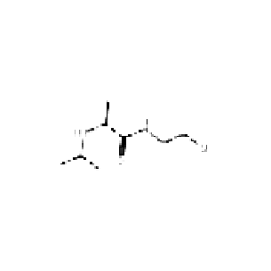 CC(C)NC(C)C(=O)NCCS